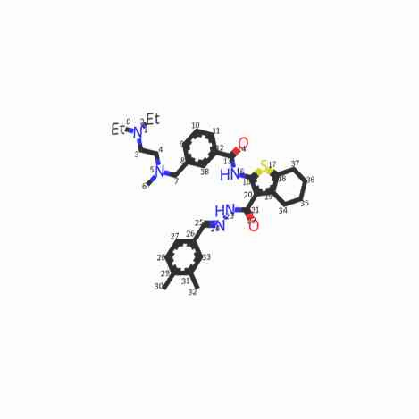 CCN(CC)CCN(C)Cc1cccc(C(=O)Nc2sc3c(c2C(=O)N/N=C/c2ccc(C)c(C)c2)CCCC3)c1